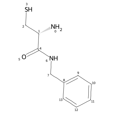 N[C@@H](CS)C(=O)NCc1ccccc1